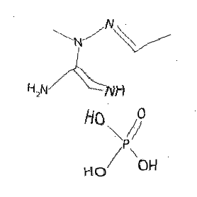 CC=NN(C)C(=N)N.O=P(O)(O)O